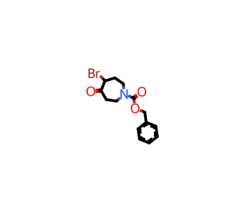 O=C1CCN(C(=O)OCc2ccccc2)CCC1Br